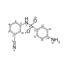 N#Cc1cccc(NS(=O)(=O)c2ccc(N)cc2)c1